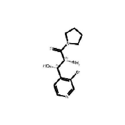 N[C@@H](C(=O)N1CCCC1)[C@@H](O)c1ccncc1Br